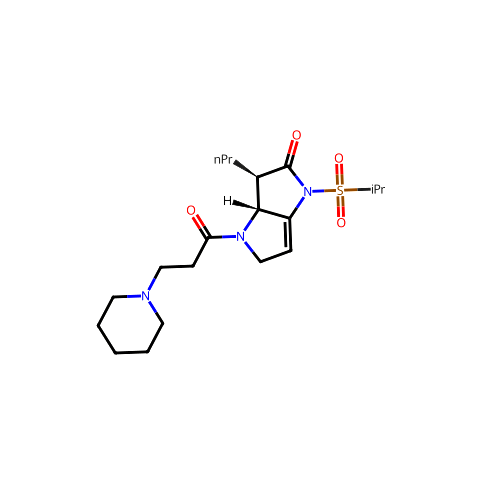 CCC[C@H]1C(=O)N(S(=O)(=O)C(C)C)C2=CCN(C(=O)CCN3CCCCC3)[C@@H]21